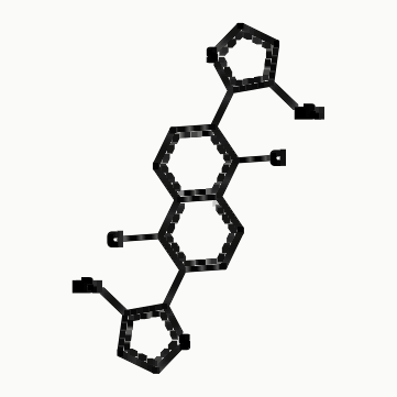 CCCCc1ccsc1-c1ccc2c(Cl)c(-c3sccc3CCCC)ccc2c1Cl